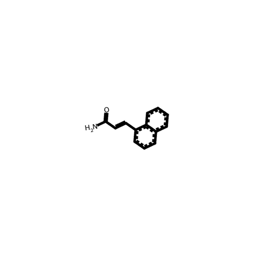 NC(=O)C=Cc1cccc2ccccc12